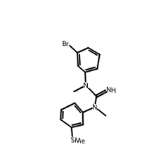 CSc1cccc(N(C)C(=N)N(C)c2cccc(Br)c2)c1